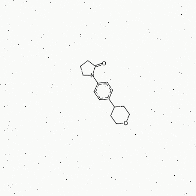 O=C1CCCN1c1ccc(C2CCOCC2)cc1